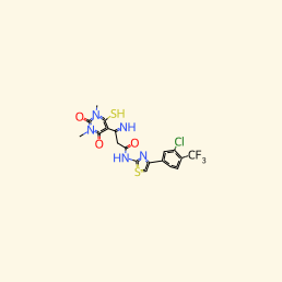 Cn1c(S)c(C(=N)CC(=O)Nc2nc(-c3ccc(C(F)(F)F)c(Cl)c3)cs2)c(=O)n(C)c1=O